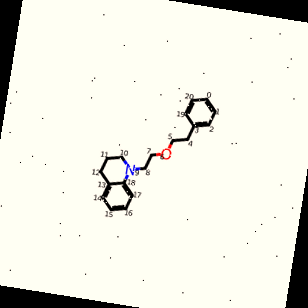 c1ccc(CCOCCN2CCCc3ccccc32)cc1